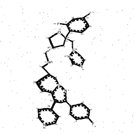 Fc1ccc(-c2nn3cc(CNC[C@@H]4CO[C@](Cn5cncn5)(c5ccc(F)cc5F)C4)ccc3c2-c2ccncc2)cc1